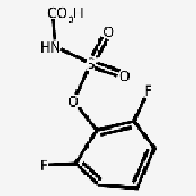 O=C(O)NS(=O)(=O)Oc1c(F)cccc1F